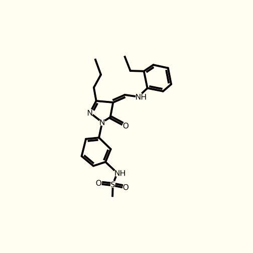 CCCC1=NN(c2cccc(NS(C)(=O)=O)c2)C(=O)C1=CNc1ccccc1CC